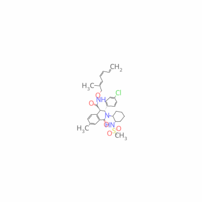 C=C/C=C\C=C(/C)CONC(=O)[C@@H]1c2ccc(C)cc2C(=O)N([C@H]2CCCC[C@@H]2NS(C)(=O)=O)[C@H]1c1ccc(Cl)cc1